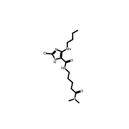 CCCCNc1nc(Cl)[nH]c1C(=O)NCCCCC(=O)N(C)C